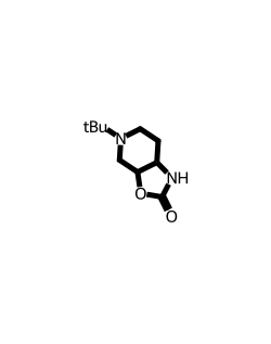 CC(C)(C)N1CCC2NC(=O)OC2C1